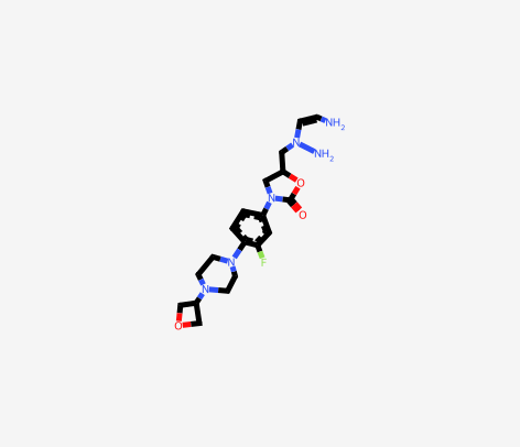 N/C=C\N(N)CC1CN(c2ccc(N3CCN(C4COC4)CC3)c(F)c2)C(=O)O1